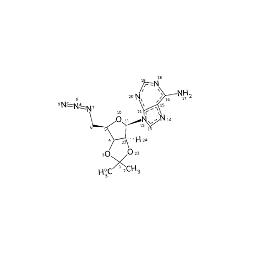 CC1(C)OC2[C@@H](CN=[N+]=[N-])O[C@@H](n3cnc4c(N)ncnc43)[C@H]2O1